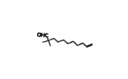 C=CCCCCCCCC(C)(C)C=O